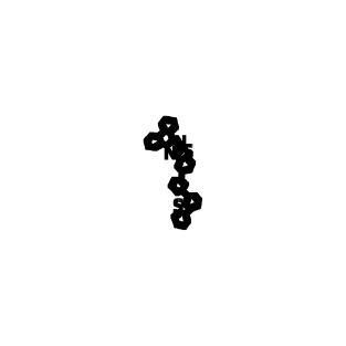 c1cc(-c2ccc3sc4nc5c6ccccc6c6ccccc6c5nc4c3c2)cc(-c2cccc3c2sc2ccccc23)c1